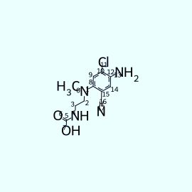 CN(CCNC(=O)O)c1cc(Cl)c(N)cc1C#N